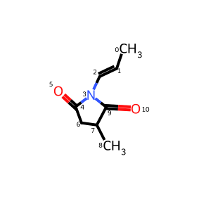 CC=CN1C(=O)CC(C)C1=O